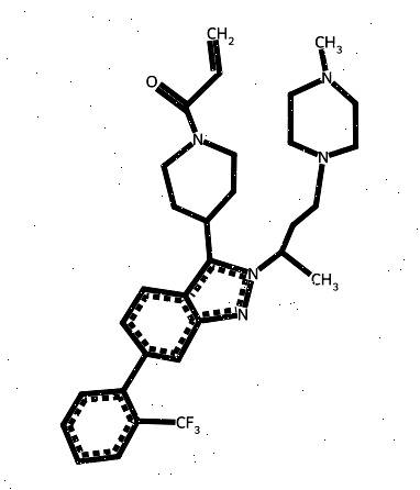 C=CC(=O)N1CCC(c2c3ccc(-c4ccccc4C(F)(F)F)cc3nn2C(C)CCN2CCN(C)CC2)CC1